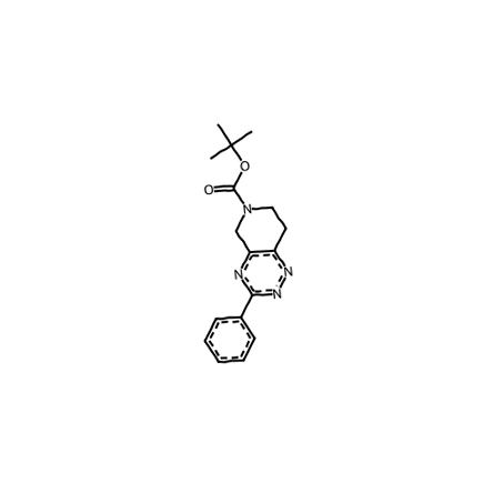 CC(C)(C)OC(=O)N1CCc2nnc(-c3ccccc3)nc2C1